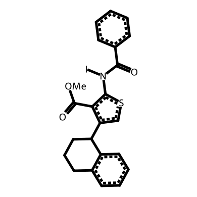 COC(=O)c1c(C2CCCc3ccccc32)csc1N(I)C(=O)c1ccccc1